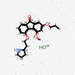 CCCOc1cc(OC)c2c(c1)C(=O)c1cccc(OCCC3CCCN3)c1-2.Cl